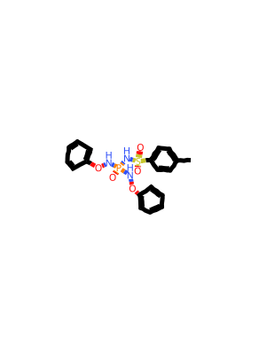 Cc1ccc(S(=O)(=O)NP(=O)(NOc2ccccc2)NOc2ccccc2)cc1